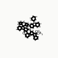 CC1(C)c2ccccc2-c2ccc(N(c3ccc4c(c3)c3ccccc3n4-c3ccccc3)c3cc4c(c5oc6ccccc6c35)-c3ccccc3C43c4ccccc4Sc4ccccc43)cc21